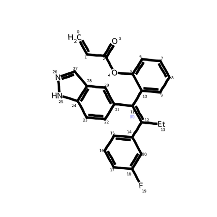 C=CC(=O)Oc1ccccc1/C(=C(\CC)c1cccc(F)c1)c1ccc2[nH]ncc2c1